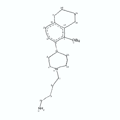 CC(C)COc1c(C2CCN(CCCCN)CC2)ccc2c1CCCC2